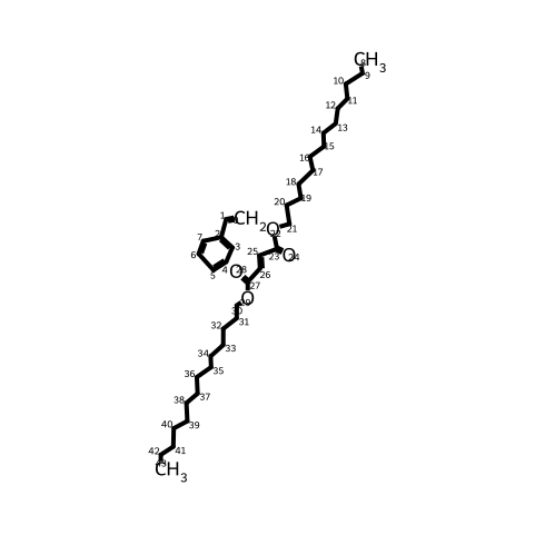 C=Cc1ccccc1.CCCCCCCCCCCCCCOC(=O)C=CC(=O)OCCCCCCCCCCCCCC